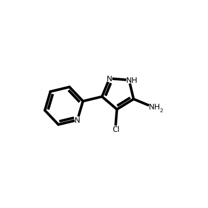 Nc1[nH]nc(-c2ccccn2)c1Cl